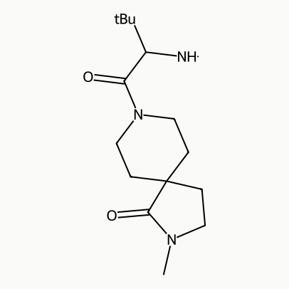 CN1CCC2(CCN(C(=O)C([NH])C(C)(C)C)CC2)C1=O